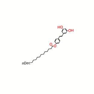 CCCCCCCCCCCCCCCCCCCCCC(=O)Oc1ccc(C=Cc2cc(O)cc(O)c2)cc1